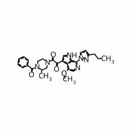 CCCc1ccn(-c2ncc(OC)c3c(C(=O)C(=O)N4CCN(C(=O)c5ccccc5)C(C)C4)c[nH]c23)n1